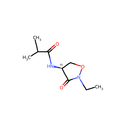 CCN1OC[C@H](NC(=O)C(C)C)C1=O